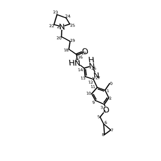 Cc1cc(OCC2CC2)ccc1-c1cc(NC(=O)CCCN2CCCC2)[nH]n1